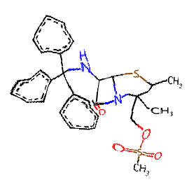 CC1SC2C(NC(c3ccccc3)(c3ccccc3)c3ccccc3)C(=O)N2C1(C)COS(C)(=O)=O